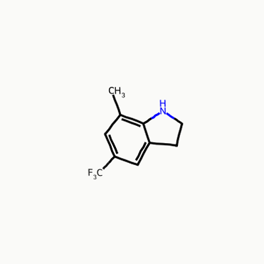 Cc1cc(C(F)(F)F)cc2c1NCC2